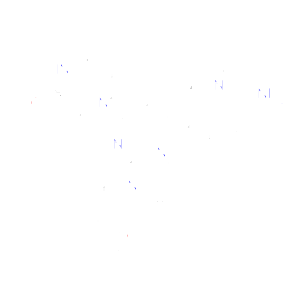 Nc1ccc(-c2cc(N3CCNC(=O)C3)nc(N3CCOCC3)n2)cn1